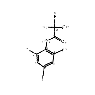 O=C(Nc1c(F)cc(F)cc1I)C(F)(F)F